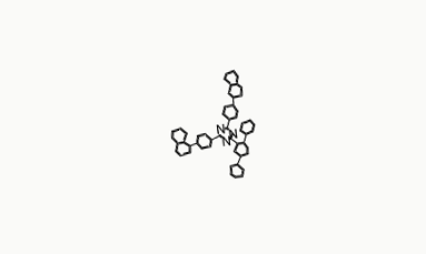 c1ccc(-c2ccc(-c3ccccc3)c(-c3nc(-c4ccc(-c5ccc6ccccc6c5)cc4)nc(-c4ccc(-c5cccc6ccccc56)cc4)n3)c2)cc1